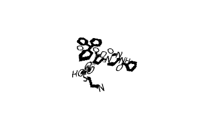 N#CCCSP(=O)(O)O[C@H]1C[C@H](n2ccc(NC(=O)c3ccccc3)nc2=O)O[C@@H]1COC1(c2ccccc2)c2ccccc2Oc2ccccc21